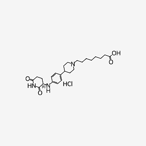 Cl.O=C(O)CCCCCCCN1CCC(c2ccc(N[C@@H]3CCC(=O)NC3=O)cc2)CC1